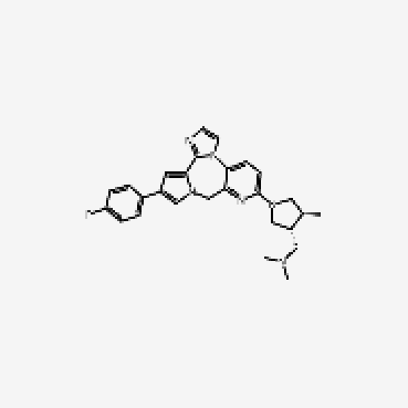 C[C@@H]1CN(c2ccc3c(n2)Cn2cc(-c4ccc(F)cc4)cc2-c2nccn2-3)C[C@H]1CN(C)C